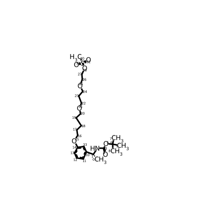 C[C@@H](NC(=O)OC(C)(C)C)c1cccc(OCCCCCOCCCOCCOS(C)(=O)=O)c1